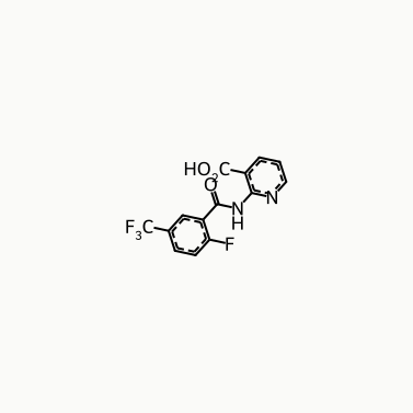 O=C(Nc1ncccc1C(=O)O)c1cc(C(F)(F)F)ccc1F